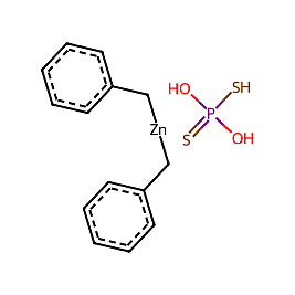 OP(O)(=S)S.c1ccc([CH2][Zn][CH2]c2ccccc2)cc1